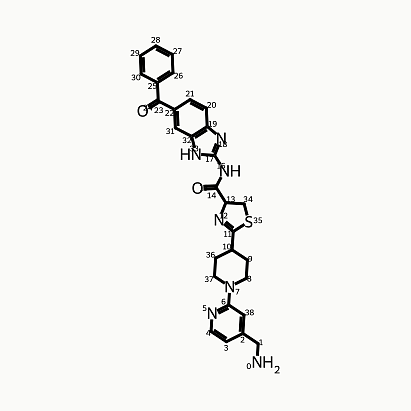 NCc1ccnc(N2CCC(C3=NC(C(=O)Nc4nc5ccc(C(=O)c6ccccc6)cc5[nH]4)CS3)CC2)c1